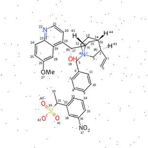 C=C[C@H]1C[N+]2(Cc3ccccc3)CC[C@H]1C[C@H]2[C@H](O)c1ccnc2ccc(OC)cc12.CC(c1cccc([N+](=O)[O-])c1)S(=O)(=O)[O-]